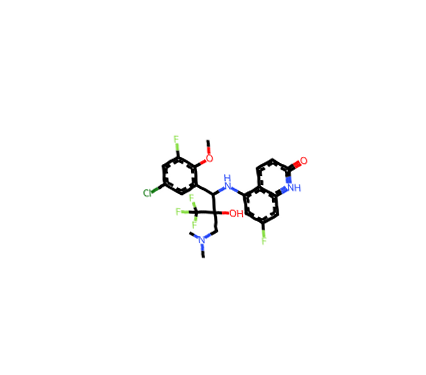 COc1c(F)cc(Cl)cc1C(Nc1cc(F)cc2[nH]c(=O)ccc12)C(O)(CN(C)C)C(F)(F)F